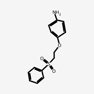 Nc1ccc(OCCS(=O)(=O)c2ccccc2)cc1